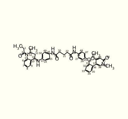 CCC(=O)N1c2ccccc2[C@H](Nc2ccc(NC(=O)CCCC(=O)Nc3ccc(Oc4ccccc4-c4cn(C)c(=O)cc4OC)cc3)cc2)C[C@@H]1C